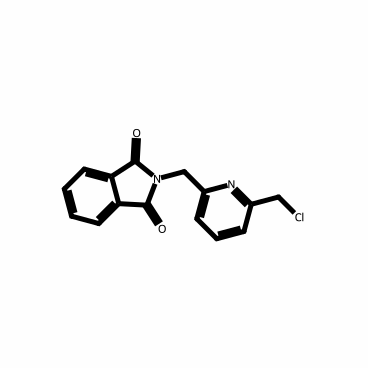 O=C1c2ccccc2C(=O)N1Cc1cccc(CCl)n1